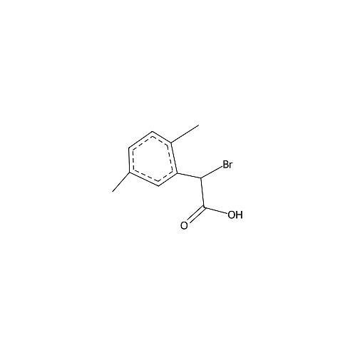 Cc1ccc(C)c(C(Br)C(=O)O)c1